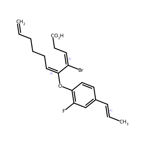 C=CCCC/C=C(Oc1ccc(/C=C/C)cc1F)\C(Br)=C/CC(=O)O